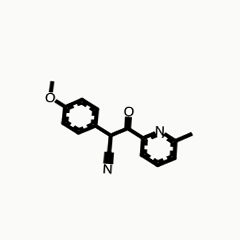 COc1ccc(C(C#N)C(=O)c2cccc(C)n2)cc1